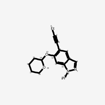 CCC#Cc1cc2cnn(C(C)C)c2cc1OC1CCCCO1